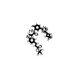 Cc1ccc(-c2noc(C3CC(F)(F)C3)n2)cc1NC(=O)c1cnc2ccc(CCC(=O)OC(C)(C)C)cn12